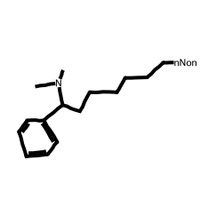 CCCCCCCCCCCCCCCC(c1ccccc1)N(C)C